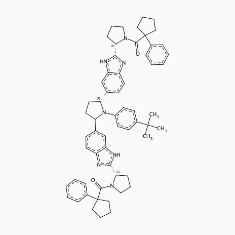 CC(C)(C)c1ccc(N2C(c3ccc4nc([C@@H]5CCCN5C(=O)C5(c6ccccc6)CCCC5)[nH]c4c3)CC[C@@H]2c2ccc3nc([C@@H]4CCCN4C(=O)C4(c5ccccc5)CCCC4)[nH]c3c2)cc1